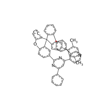 Cc1cc(-c2ccc3c(c2)-c2ccccc2C32c3ccccc3Oc3ccc(-c4nc(-c5ccccc5)cc(-c5ccccc5-c5ccccc5)n4)cc32)c(C)cn1